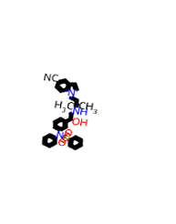 CC(C)(CCn1ccc2cc(C#N)ccc21)NC[C@H](O)c1cccc(N(c2ccccc2)S(=O)(=O)c2ccccc2)c1